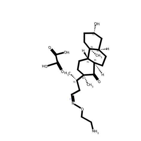 C[C@@H](C/C=N\OCCN)[C@@]1(C)CC[C@H]2[C@@H](CC[C@@H]3C[C@@H](O)CC[C@@]32C)C1=O.O=C(O)C(=O)O